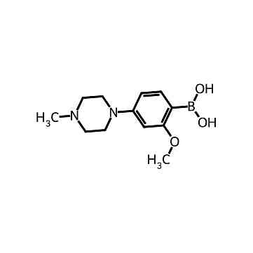 COc1cc(N2CCN(C)CC2)ccc1B(O)O